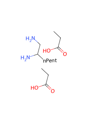 CCC(=O)O.CCC(=O)O.CCCCCC(N)CN